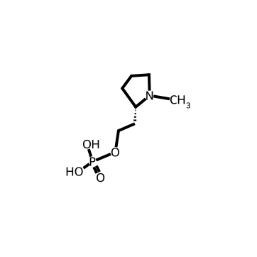 CN1CCC[C@H]1CCOP(=O)(O)O